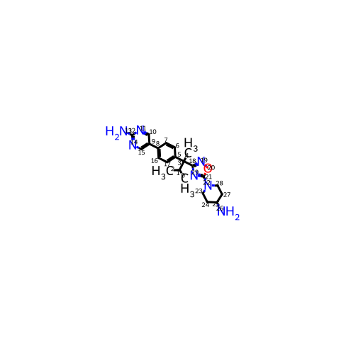 CC(C)C(C)(c1ccc(-c2cnc(N)nc2)cc1)c1noc(N2CCC(N)CC2)n1